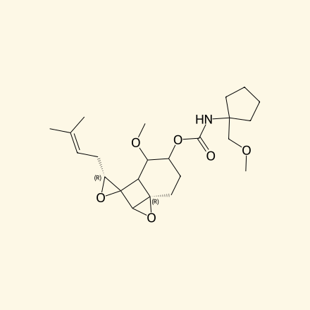 COCC1(NC(=O)OC2CC[C@]34OC3C3(O[C@@H]3CC=C(C)C)C4C2OC)CCCC1